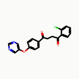 O=C(CCC(=O)c1ccccc1Cl)c1ccc(Oc2cncnc2)cc1